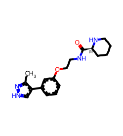 Cc1n[nH]cc1-c1c[c]cc(OCCNC(=O)[C@@H]2CCCCN2)c1